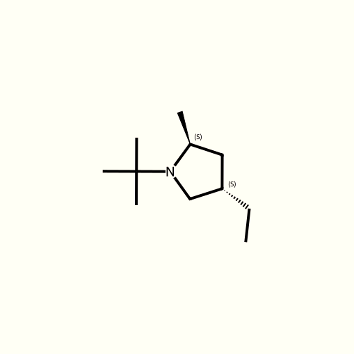 CC[C@H]1C[C@H](C)N(C(C)(C)C)C1